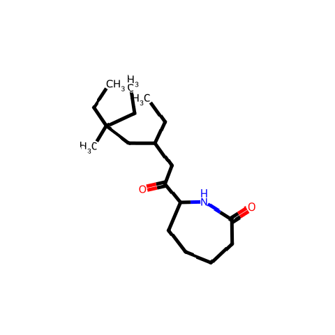 CCC(CC(=O)C1CCCCC(=O)N1)CC(C)(CC)CC